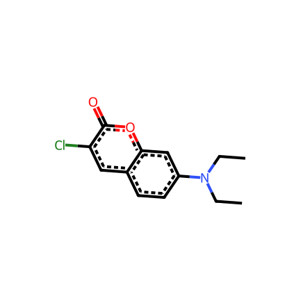 CCN(CC)c1ccc2cc(Cl)c(=O)oc2c1